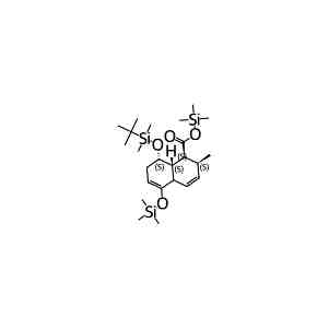 C[C@H]1C=CC2C(O[Si](C)(C)C)=CC[C@H](O[Si](C)(C)C(C)(C)C)[C@@H]2[C@H]1C(=O)O[Si](C)(C)C